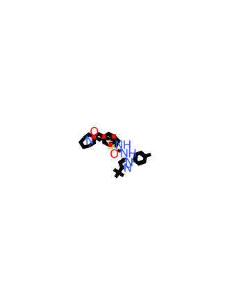 Cc1ccc(-n2nc(C(C)(C)C)cc2NC(=O)Nc2ccc(CC3CC4CCC(C3)N4C(=O)CCc3cccs3)cc2)cc1